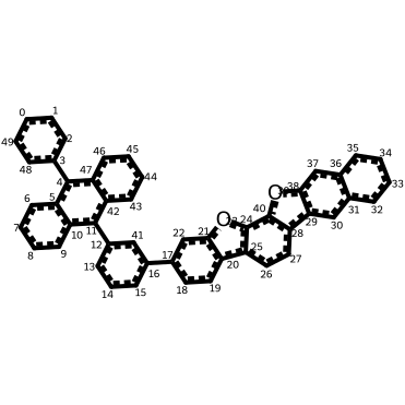 c1ccc(-c2c3ccccc3c(-c3cccc(-c4ccc5c(c4)oc4c5ccc5c6cc7ccccc7cc6oc54)c3)c3ccccc23)cc1